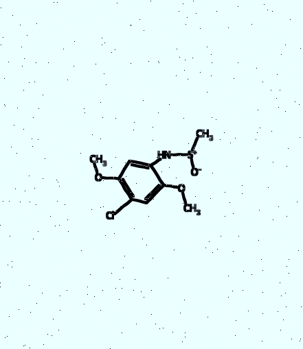 COc1cc(N[S+](C)[O-])c(OC)cc1Cl